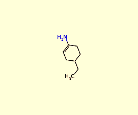 CCC1CC=C(N)CC1